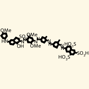 COc1ccc(Nc2ccc3c(O)c(N=Nc4cc(OC)c(N=Nc5ccc(N=Nc6ccc(N=Nc7cc8c(S(=O)(=O)O)cc(S(=O)(=O)O)cc8cc7S(=O)(=O)O)c(C)c6)c(C)c5)cc4OC)c(S(=O)(=O)O)cc3c2)cc1